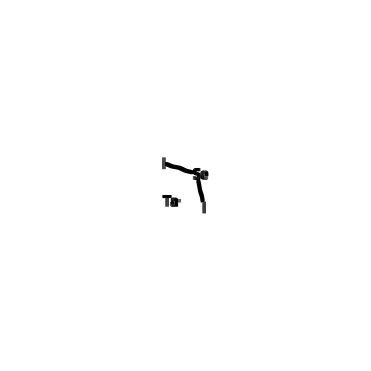 I[Se]I.[Ta]